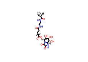 CC(CC(=O)O)C(=O)NCCNC(=O)CCC(C)(C)C(=O)OC[C@@H]1[C@@H](O)[C@H](O)[C@H](O)[C@H]2NC(=O)C(=O)N12